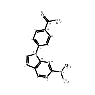 CN(C)c1ncc2ncn(-c3ccc(C(N)=O)cc3)c2n1